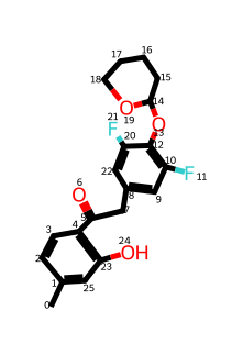 Cc1ccc(C(=O)Cc2cc(F)c(OC3CCCCO3)c(F)c2)c(O)c1